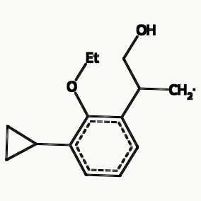 [CH2]C(CO)c1cccc(C2CC2)c1OCC